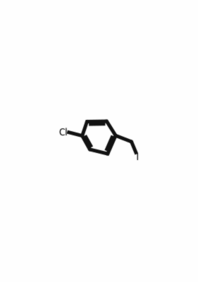 Clc1ccc(CI)cc1